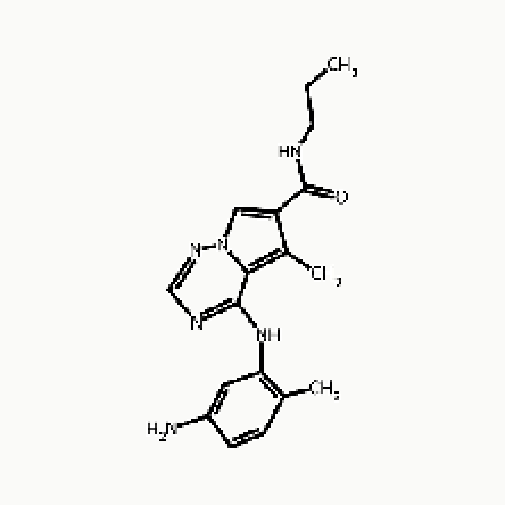 CCCNC(=O)c1cn2ncnc(Nc3cc(N)ccc3C)c2c1C